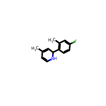 CC1=CC(c2ccc(F)cc2C)NC=C1